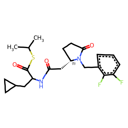 CC(C)SC(=O)C(CC1CC1)NC(=O)C[C@@H]1CCC(=O)N1Cc1cccc(F)c1F